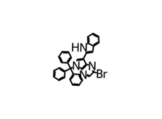 Brc1cnc2c(n1)c(-c1cc3ccccc3[nH]1)cn2C(c1ccccc1)(c1ccccc1)c1ccccc1